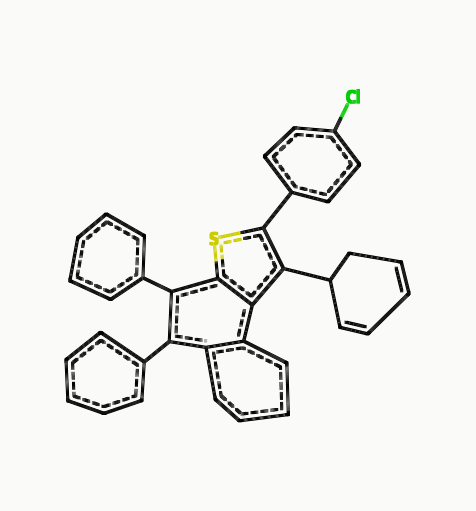 Clc1ccc(-c2sc3c(-c4ccccc4)c(-c4ccccc4)c4ccccc4c3c2C2C=CC=CC2)cc1